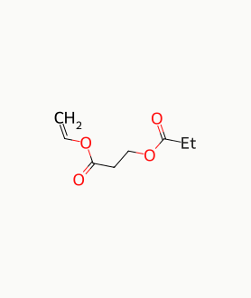 C=COC(=O)CCOC(=O)CC